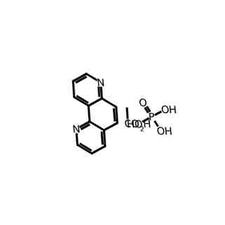 CC(=O)O.O=P(O)(O)O.c1cnc2c(c1)ccc1ncccc12